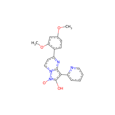 COc1ccc(-c2ccn3c(n2)c(-c2ccccn2)c(O)[n+]3[O-])c(OC)c1